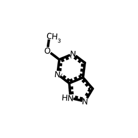 COc1ncc2cn[nH]c2n1